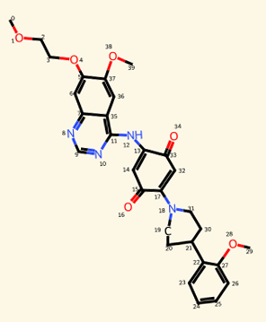 COCCOc1cc2ncnc(NC3=CC(=O)C(N4CCC(c5ccccc5OC)CC4)=CC3=O)c2cc1OC